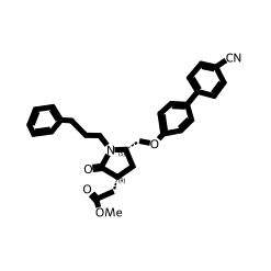 COC(=O)C[C@H]1C[C@@H](COc2ccc(-c3ccc(C#N)cc3)cc2)N(CCCc2ccccc2)C1=O